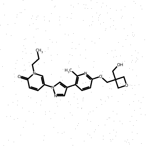 CCCn1cc(-n2cc(-c3ccc(OCC4(CO)COC4)nc3C)cn2)ccc1=O